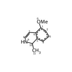 COc1cccc2c1C=CNC2C